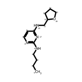 CCCCNc1nccc(NCC2CCCO2)n1